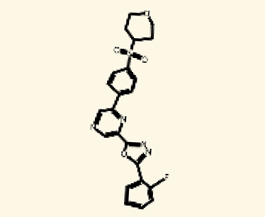 O=S(=O)(c1ccc(-c2cncc(-c3nnc(-c4ccccc4F)o3)n2)cc1)C1CCOCC1